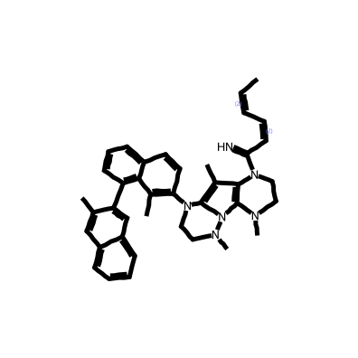 C/C=C\C=C/C(=N)N1CCN(C)c2c1c(C)c1n2N(C)CCN1c1ccc2cccc(-c3cc4ccccc4cc3C)c2c1C